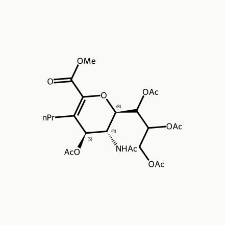 CCCC1=C(C(=O)OC)O[C@@H](C(OC(C)=O)C(COC(C)=O)OC(C)=O)[C@H](NC(C)=O)[C@H]1OC(C)=O